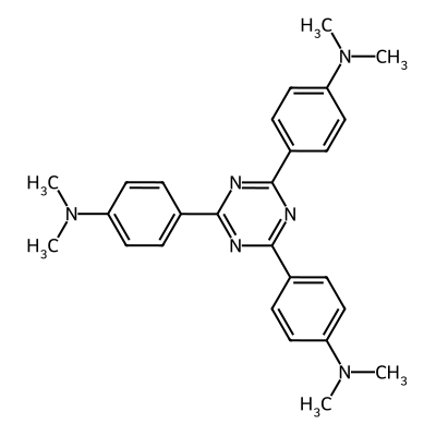 CN(C)c1ccc(-c2nc(-c3ccc(N(C)C)cc3)nc(-c3ccc(N(C)C)cc3)n2)cc1